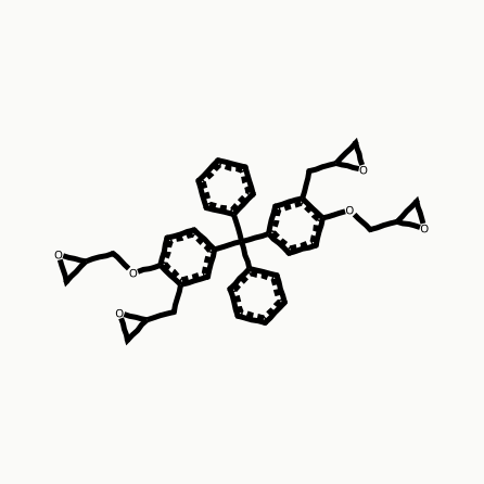 c1ccc(C(c2ccccc2)(c2ccc(OCC3CO3)c(CC3CO3)c2)c2ccc(OCC3CO3)c(CC3CO3)c2)cc1